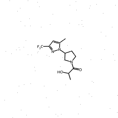 Cc1cc(C(F)(F)F)nn1C1CCN(C(=O)C(C)O)C1